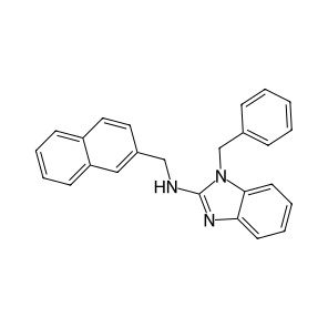 c1ccc(Cn2c(NCc3ccc4ccccc4c3)nc3ccccc32)cc1